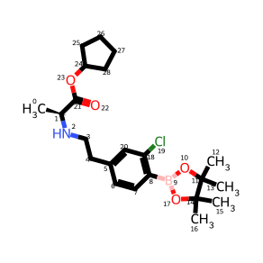 C[C@H](NCCc1ccc(B2OC(C)(C)C(C)(C)O2)c(Cl)c1)C(=O)OC1CCCC1